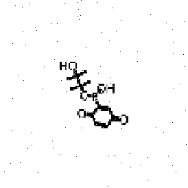 CC(C)(O)C(C)(C)OB(O)C1=CC(=O)C=CC1=O